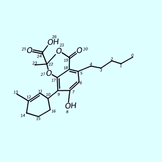 CCCCCc1cc(O)c(C2C=C(C)CCC2)c2c1C(=O)OC(C)(C(=O)O)O2